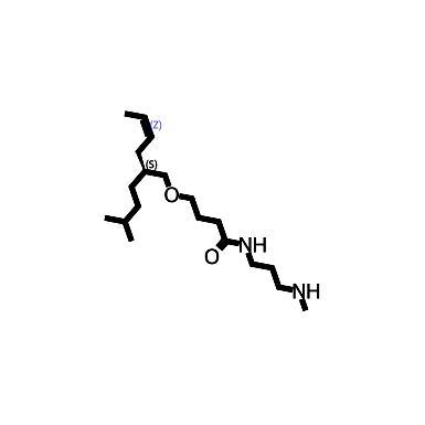 C/C=C\C[C@H](CCC(C)C)COCCCC(=O)NCCCNC